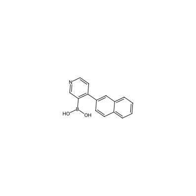 OB(O)c1cnccc1-c1ccc2ccccc2c1